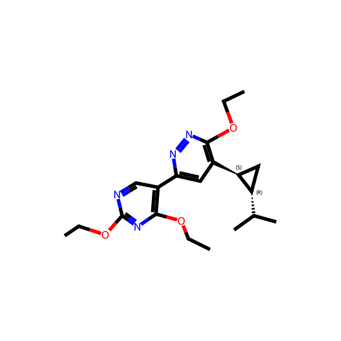 CCOc1ncc(-c2cc([C@H]3C[C@@H]3C(C)C)c(OCC)nn2)c(OCC)n1